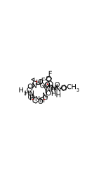 Cc1ccc(NC(=O)N[C@@H](Cc2cc(F)cc(F)c2)C(=O)N[C@@H]2C(=O)N3CCC[C@H]3C(=O)N3CCCC[C@H]3C(=O)N[C@@H](C)C(=O)N3CC4(CC4)C[C@H]3C(=O)O[C@H]2C)cc1